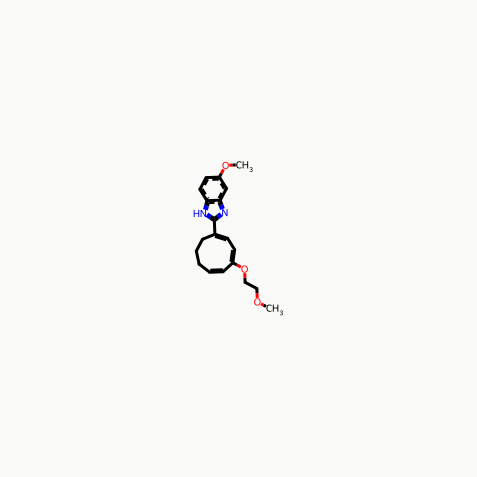 COCCOC1=C/C=C(/c2nc3cc(OC)ccc3[nH]2)CCC/C=C\1